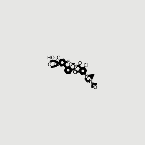 O=C(O)c1cc(F)c(-c2cccc3c2OCN(C(=O)c2c(Cl)cc(N4CCN(C5COC5)C5CC54)cc2Cl)C3)cc1N1C2CCC1COC2